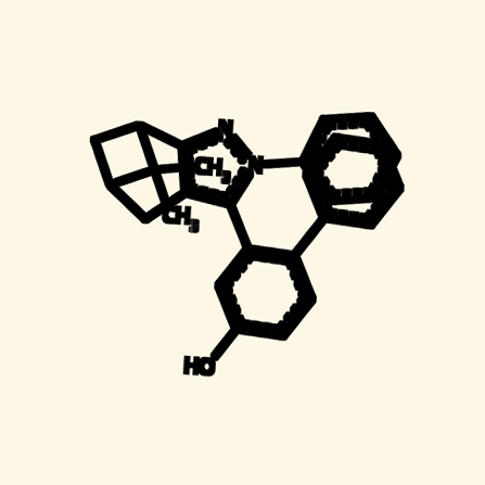 CC1(C)C2Cc3c(nn(-c4ccccc4)c3-c3cc(O)ccc3-c3ccccc3)C1C2